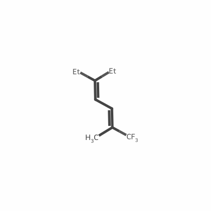 CCC(=C/C=C(\C)C(F)(F)F)CC